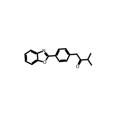 CC(C)C(=O)Cc1ccc(-c2nc3ccccc3o2)cc1